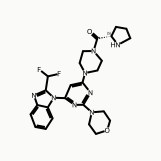 O=C([C@@H]1CCCN1)N1CCN(c2cc(-n3c(C(F)F)nc4ccccc43)nc(N3CCOCC3)n2)CC1